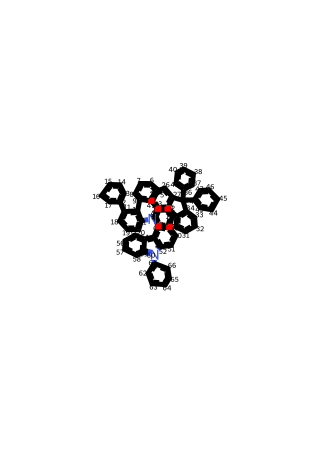 c1ccc(-c2ccccc2-c2c(-c3ccccc3)cccc2N(c2cccc3c2-c2ccccc2C3(c2ccccc2)c2ccccc2)c2cccc3c2c2ccccc2n3-c2ccccc2)cc1